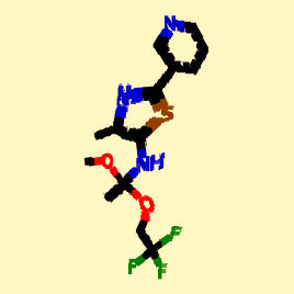 COC(C)(Nc1sc(-c2cccnc2)nc1C)OCC(F)(F)F